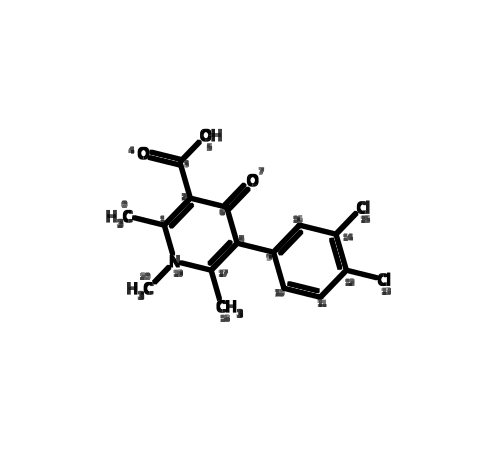 Cc1c(C(=O)O)c(=O)c(-c2ccc(Cl)c(Cl)c2)c(C)n1C